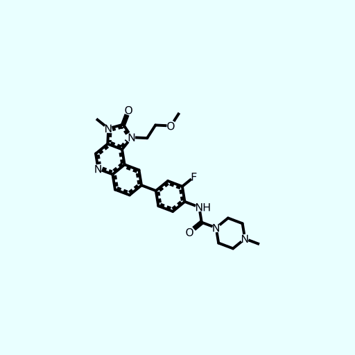 COCCn1c(=O)n(C)c2cnc3ccc(-c4ccc(NC(=O)N5CCN(C)CC5)c(F)c4)cc3c21